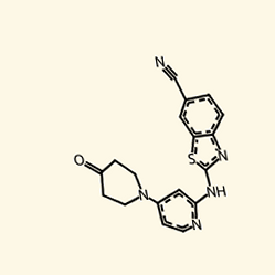 N#Cc1ccc2nc(Nc3cc(N4CCC(=O)CC4)ccn3)sc2c1